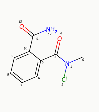 CN(Cl)C(=O)c1ccccc1C(N)=O